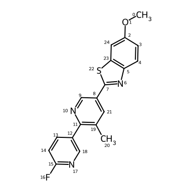 COc1ccc2nc(-c3cnc(-c4ccc(F)nc4)c(C)c3)sc2c1